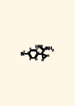 N=C(N)C1(c2ccc(Br)cc2)CC1